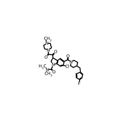 CN1CCN(C(=O)C(=O)C2CN(C(=O)N(C)C)c3cc(Cl)c(C(=O)N4CCC(Cc5ccc(F)cc5)CC4)cc32)CC1